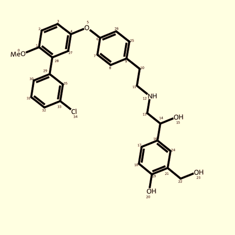 COc1ccc(Oc2ccc(CCNCC(O)c3ccc(O)c(CO)c3)cc2)cc1-c1cccc(Cl)c1